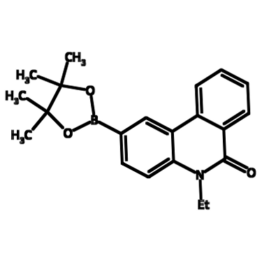 CCn1c(=O)c2ccccc2c2cc(B3OC(C)(C)C(C)(C)O3)ccc21